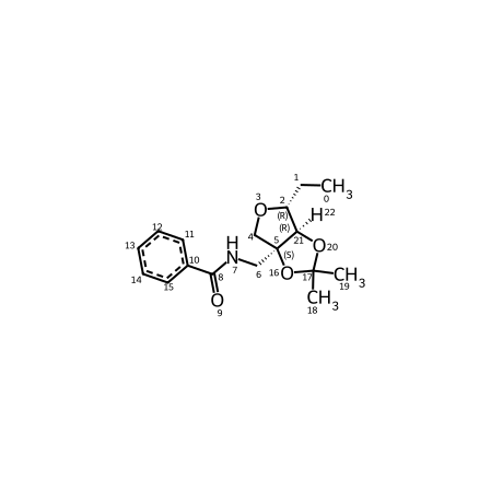 CC[C@H]1OC[C@]2(CNC(=O)c3ccccc3)OC(C)(C)O[C@H]12